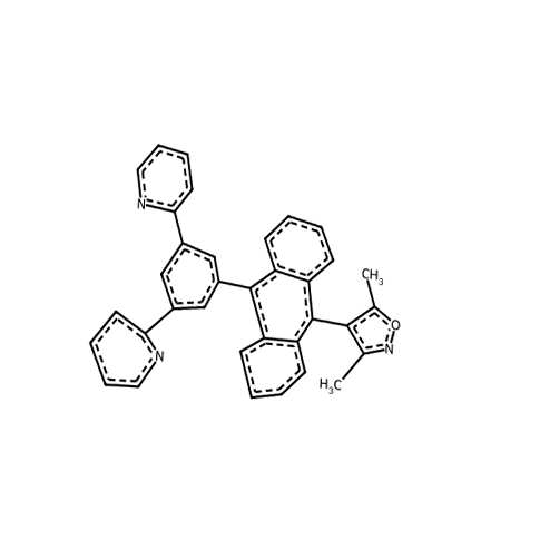 Cc1noc(C)c1-c1c2ccccc2c(-c2cc(-c3ccccn3)cc(-c3ccccn3)c2)c2ccccc12